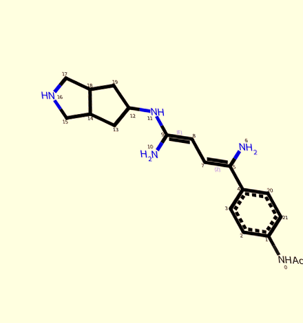 CC(=O)Nc1ccc(/C(N)=C/C=C(\N)NC2CC3CNCC3C2)cc1